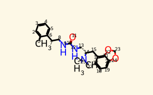 Cc1ccccc1CCNC(=O)NC[C@H](Cc1cccc2c1OCO2)N(C)C